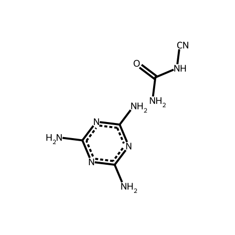 N#CNC(N)=O.Nc1nc(N)nc(N)n1